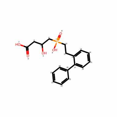 O=C(O)CC(O)CP(=O)(O)CCc1ccccc1-c1ccccc1